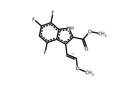 CO/C=C/c1c(C(=O)OC)[nH]c2c(F)c(F)cc(F)c12